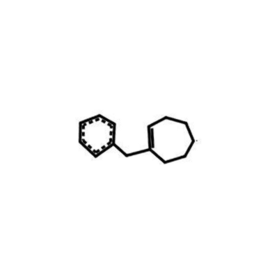 [CH]1CCC=C(Cc2ccccc2)CC1